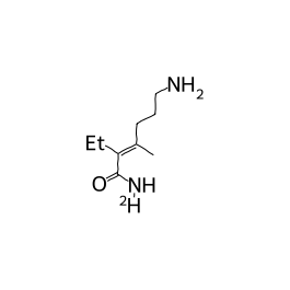 [2H]NC(=O)C(CC)=C(C)CCCN